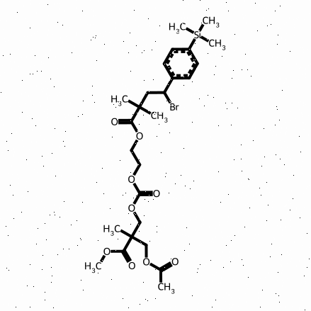 COC(=O)C(C)(COC(C)=O)COC(=O)OCCOC(=O)C(C)(C)CC(Br)c1ccc([Si](C)(C)C)cc1